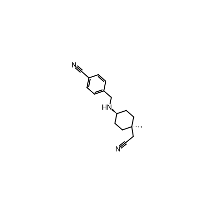 C[C@]1(CC#N)CC[C@@H](NCc2ccc(C#N)cc2)CC1